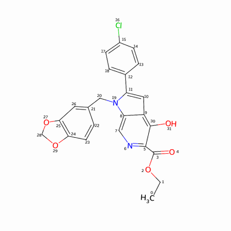 CCOC(=O)c1ncc2c(cc(-c3ccc(Cl)cc3)n2Cc2ccc3c(c2)OCO3)c1O